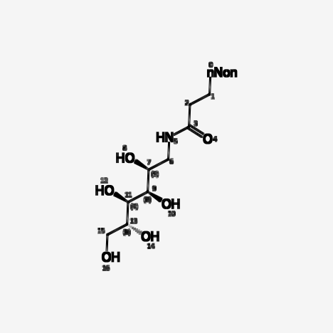 CCCCCCCCCCCC(=O)NC[C@H](O)[C@@H](O)[C@H](O)[C@H](O)CO